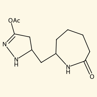 CC(=O)OC1=NNC(CC2CCCCC(=O)N2)C1